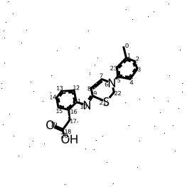 Cc1cccc(N2C=CC(=Nc3ccccc3CC(=O)O)SC2)c1